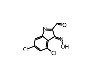 O=CC1=Nc2cc(Cl)cc(Cl)c2C1=NO